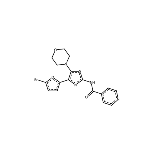 O=C(Nc1nc(-c2ccc(Br)o2)c(N2CCOCC2)s1)c1ccncc1